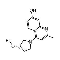 CCO[C@H]1CCN(c2cc(C)nc3cc(O)ccc23)C1